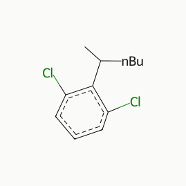 CCCCC(C)c1c(Cl)cccc1Cl